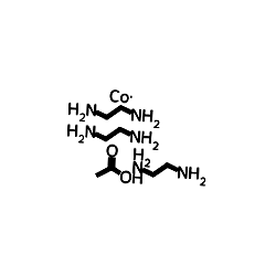 CC(=O)O.NCCN.NCCN.NCCN.[Co]